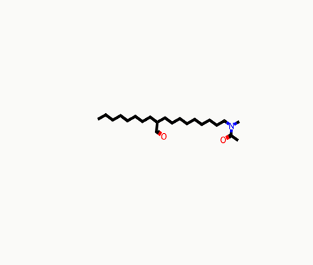 CCCCCCCCC(C=O)CCCCCCCCCN(C)C(C)=O